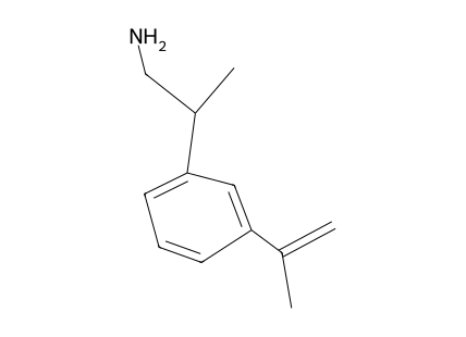 C=C(C)c1cccc(C(C)CN)c1